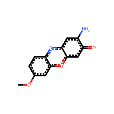 COc1ccc2nc3cc(N)c(=O)cc-3oc2c1